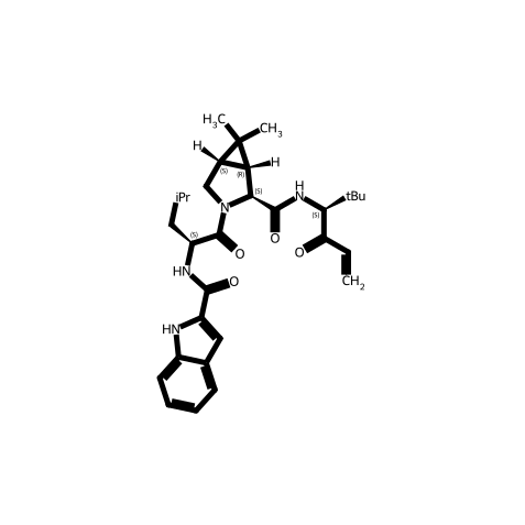 C=CC(=O)[C@@H](NC(=O)[C@@H]1[C@@H]2[C@H](CN1C(=O)[C@H](CC(C)C)NC(=O)c1cc3ccccc3[nH]1)C2(C)C)C(C)(C)C